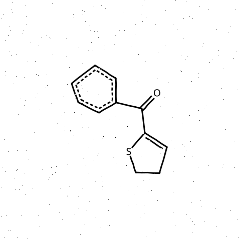 O=C(C1=CCCS1)c1ccccc1